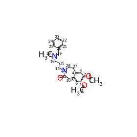 COc1cc2c(cc1OC)CC(=O)N(CCCN(C)Cc1ccccc1)CC2